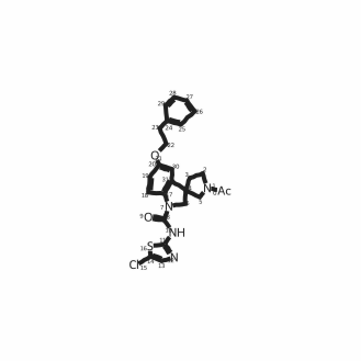 CC(=O)N1CCC2(C1)CN(C(=O)Nc1ncc(Cl)s1)c1ccc(OCCc3ccccc3)cc12